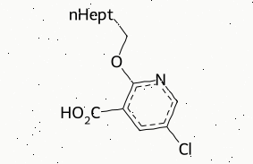 CCCCCCCCOc1ncc(Cl)cc1C(=O)O